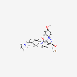 COc1ccc(-n2nc(C(=O)OS)c3c2C(=O)N(c2ccc(C(C)(C)CN4CCCC4)cc2)CC3)cc1